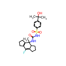 CC(C)(O)c1ccc(S(=O)(=O)NC(=O)NC2(C)C3=C(CCC3)C(F)=C3CCCC32)cc1